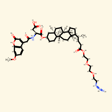 COc1ccc2c(CC(=O)N[C@@H](CC(=O)O)C(=O)O[C@@H]3CC[C@@]4(C)[C@H](CC[C@H]5[C@@H]6CCC([C@H](C)CCC(=O)OCCOCCOCCN=[N+]=[N-])C6(C)CC[C@@H]54)C3)cc(=O)oc2c1